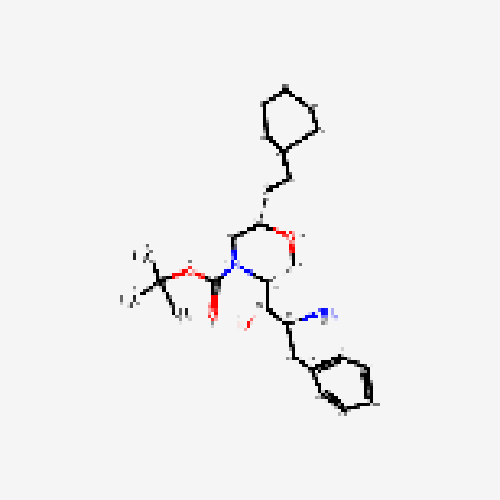 CC(C)(C)OC(=O)N1C[C@H](CCC2CCCCC2)OC[C@@H]1[C@@H](O)[C@@H](N)Cc1ccccc1